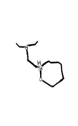 CN(C)C[SiH]1CCCCO1